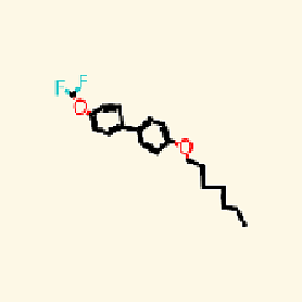 CCCCCCCOc1ccc(-c2ccc(OC(F)F)cc2)cc1